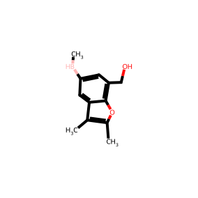 CBc1cc(CO)c2oc(C)c(C)c2c1